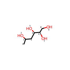 CC(O)C[C@@H](O)[C@H](O)CO